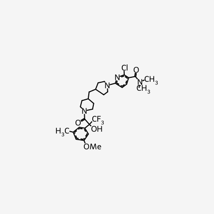 COc1cc(C)cc(C(O)(C(=O)N2CCC(CC3CCN(c4ccc(C(=O)N(C)C)c(Cl)n4)CC3)CC2)C(F)(F)F)c1